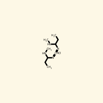 CCC(N=C=NC(CC)NC)NC.Cl